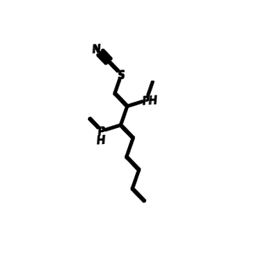 CCCCCC(PC)C(CSC#N)PC